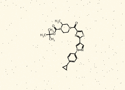 C[C@H]1CN(C(=O)c2csc(-c3cnn(-c4ccc(C5CC5)cc4)c3)n2)CCN1C(=O)OC(C)(C)C